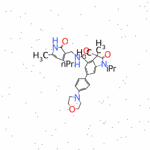 CCCc1cc(C)[nH]c(=O)c1CNC(=O)c1cc(-c2ccc(N3CCOCC3)cc2)cc2c1C(C)(C)C(=O)N2C(C)C